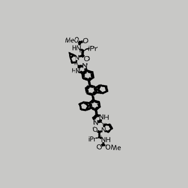 COC(=O)N[C@H](C(=O)N1CCC[C@H]1c1ncc(-c2ccc(-c3ccc(-c4ccc5nc([C@@H]6CC7CC7N6C(=O)[C@@H](NC(=O)OC)C(C)C)[nH]c5c4)c4c3C3CCC4C3)c3c2C2CCC3C2)[nH]1)C(C)C